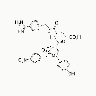 N=C(N)c1ccc(CNC(=O)[C@H](CCC(=O)O)NC(=O)[C@@H](CCc2ccc(O)cc2)NS(=O)(=O)Cc2ccc([N+](=O)[O-])cc2)cc1